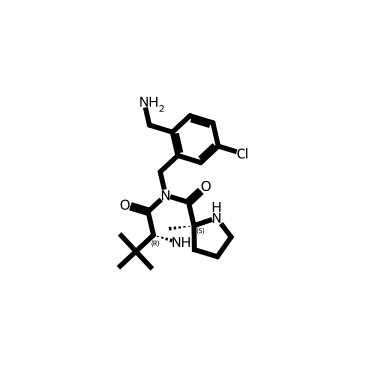 CC(C)(C)[C@@H](N)C(=O)N(Cc1cc(Cl)ccc1CN)C(=O)[C@]1(C)CCCN1